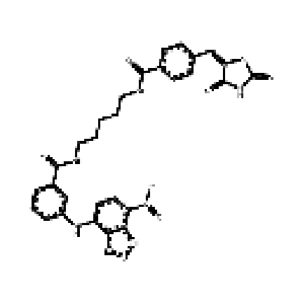 O=C1NC(=S)SC1=Cc1ccc(C(=O)NCCCCCNC(=O)c2cccc(Nc3ccc([N+](=O)[O-])c4nonc34)c2)cc1